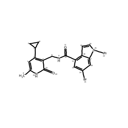 Cc1cc(C2CC2)c(CNC(=O)c2cc(Br)cc3c2ccn3C(C)C)c(=O)[nH]1